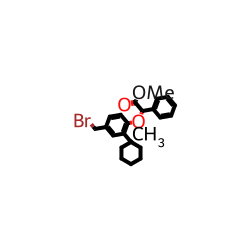 COC(=O)C(Oc1ccc(CBr)cc1C1(C)CCCCC1)c1ccccc1